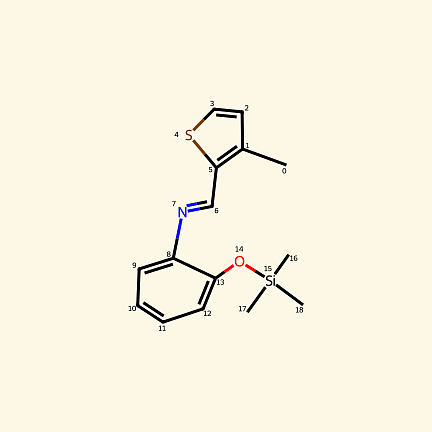 Cc1ccsc1C=Nc1ccccc1O[Si](C)(C)C